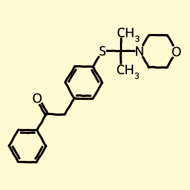 CC(C)(Sc1ccc(CC(=O)c2ccccc2)cc1)N1CCOCC1